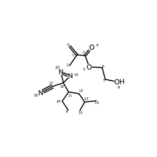 C=C(C)C(=O)OCCO.CCC(CC(C)C)C1(C#N)N=N1